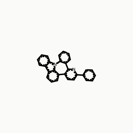 c1ccc(-c2ccc3c(n2)-c2ccccc2-n2c4ccccc4c4cccc-3c42)cc1